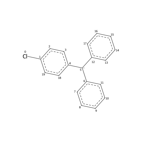 Clc1ccc([C](c2ccccc2)c2ccccc2)cc1